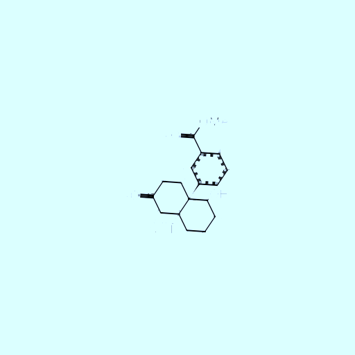 COC(=O)c1cccc([C@]23CCC(=O)[C@@H](C)[C@@H]2CCC[C@@H]3O)c1